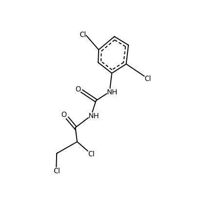 O=C(NC(=O)C(Cl)CCl)Nc1cc(Cl)ccc1Cl